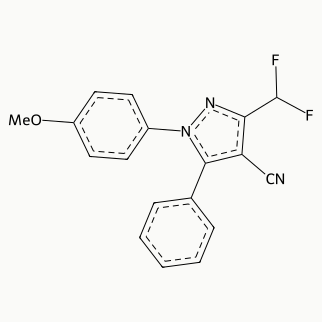 COc1ccc(-n2nc(C(F)F)c(C#N)c2-c2ccccc2)cc1